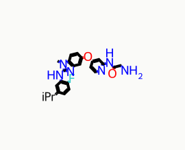 CC(C)c1ccc(F)c(Nc2nc3cc(Oc4ccnc(NC(=O)CN)c4)ccc3n2C)c1